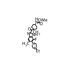 CCN1CCN(c2c(C)cc3nc(C(=O)C4(C)CCC(NC(=O)OC)CC4)[nH]c3c2F)CC1